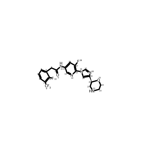 O=C(Cc1cccc(C(F)(F)F)c1F)Nc1cnc(-n2cnc([C@@H]3CNCCO3)c2)c(F)c1